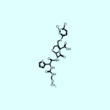 COCNC(=O)NC(C(=O)N[C@H]1C(=O)N2C(C(=O)O)=C(CSc3ccc(Cl)[n+]([O-])n3)CSC12)c1cccs1